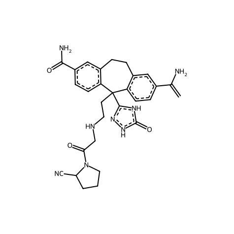 C=C(N)c1ccc2c(c1)CCc1cc(C(N)=O)ccc1C2(CCNCC(=O)N1CCCC1C#N)c1n[nH]c(=O)[nH]1